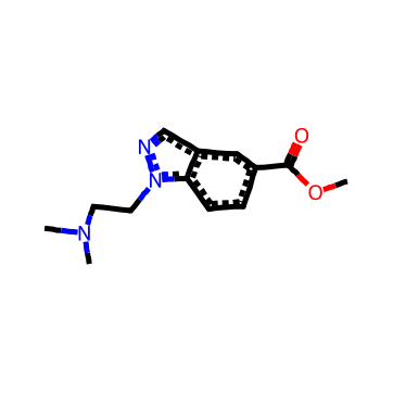 COC(=O)c1ccc2c(cnn2CCN(C)C)c1